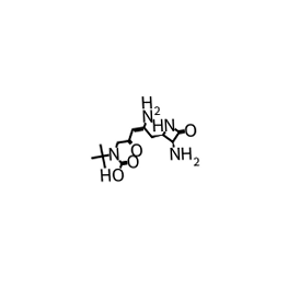 CC(C)(C)N(CC(=O)/C=C(/N)C[C@H]1NC(=O)[C@H]1N)C(=O)O